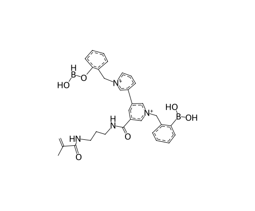 C=C(C)C(=O)NCCCNC(=O)c1cc(-c2ccc[n+](Cc3ccccc3OBO)c2)c[n+](Cc2ccccc2B(O)O)c1